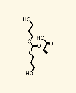 C=CC(=O)O.O=C(OCCCO)OCCCO